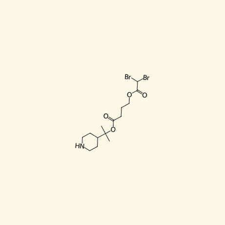 CC(C)(OC(=O)CCCOC(=O)C(Br)Br)C1CCNCC1